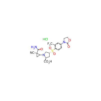 Cl.N#CC1(C(N)=O)CC1N1C[C@H](S(=O)(=O)c2ccc(N3CCOC3=O)cc2C(F)(F)F)C[C@H]1C(=O)O